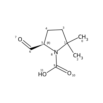 CC1(C)CC[C@H](C=O)N1C(=O)O